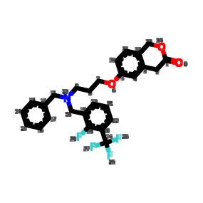 O=C1Cc2cc(OCCCN(Cc3ccccc3)Cc3cccc(C(F)(F)F)c3F)ccc2CO1